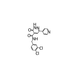 O=C(NCc1ccc(Cl)c(Cl)c1)c1cc(-c2ccncc2)n[nH]c1=O